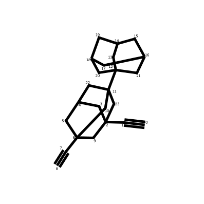 C#CC12CC3CC(C#C)(C1)CC(C14CC5CC(CC(C5)C1)C4)(C3)C2